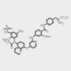 COc1cc(Nc2cc(Oc3ccc(N(C(N)=O)c4cc(C(C)(C)C)cc(NS(C)(=O)=O)c4OC)c4ccccc34)ccn2)ccc1C(=O)Nc1ccc(C[C@@H](N)C(=O)O)cc1